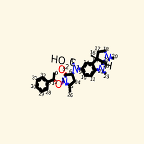 CC(ON1C(=O)C(N(C(=O)O)c2ccc3c(c2)[C@]2(C)CCN(C)[C@@H]2N3C)CC1C)c1ccccc1